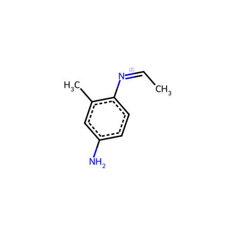 C/C=N\c1ccc(N)cc1C